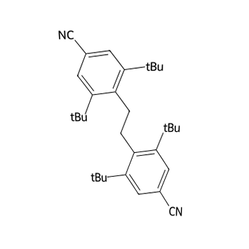 CC(C)(C)c1cc(C#N)cc(C(C)(C)C)c1CCc1c(C(C)(C)C)cc(C#N)cc1C(C)(C)C